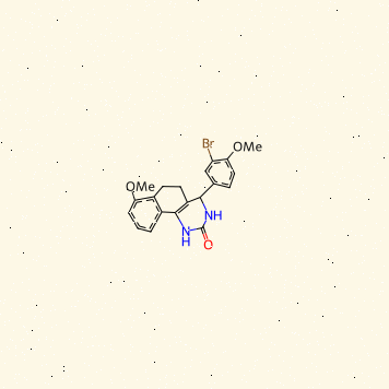 COc1ccc(C2NC(=O)NC3=C2CCc2c(OC)cccc23)cc1Br